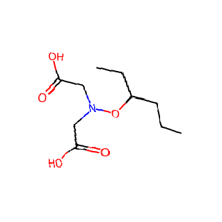 CCCC(CC)ON(CC(=O)O)CC(=O)O